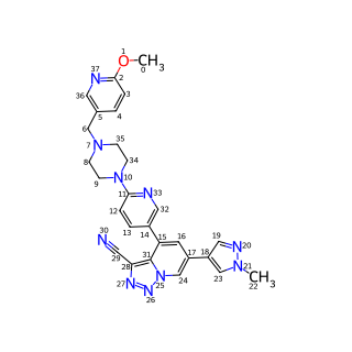 COc1ccc(CN2CCN(c3ccc(-c4cc(-c5cnn(C)c5)cn5nnc(C#N)c45)cn3)CC2)cn1